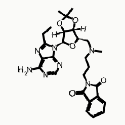 CCc1nc2c(N)ncnc2n1[C@@H]1O[C@H](CN(C)CCCN2C(=O)c3ccccc3C2=O)[C@H]2OC(C)(C)O[C@H]21